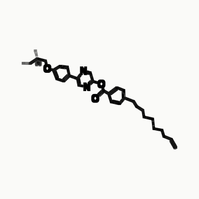 C=CCCCCCCCCc1ccc(C(=O)Oc2cnc(-c3ccc(OC[C@@H](C)CC)cc3)cn2)cc1